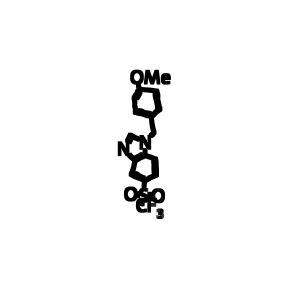 COc1ccc(Cn2cnc3cc(S(=O)(=O)C(F)(F)F)ccc32)cc1